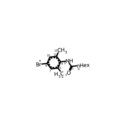 CCCCCCC(=O)Nc1c(C)cc(Br)cc1C